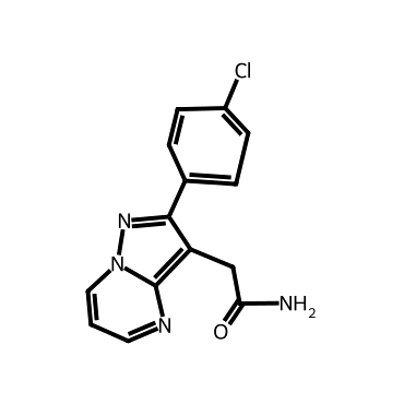 NC(=O)Cc1c(-c2ccc(Cl)cc2)nn2cccnc12